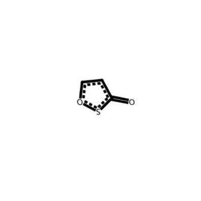 O=c1ccos1